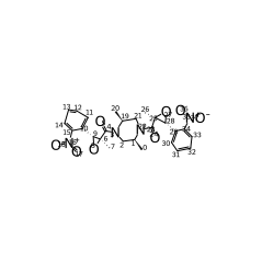 C[C@H]1CN(C(=O)[C@@]2(C)O[C@@H]2c2ccccc2[N+](=O)[O-])[C@@H](C)CN1C(=O)[C@@]1(C)O[C@@H]1c1ccccc1[N+](=O)[O-]